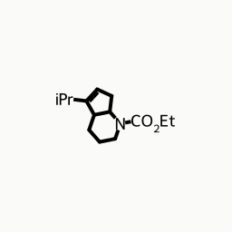 CCOC(=O)N1CCCC2C(C(C)C)=CCC21